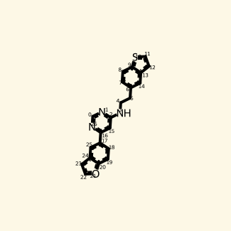 c1nc(NCCc2ccc3sccc3c2)cc(-c2ccc3occc3c2)n1